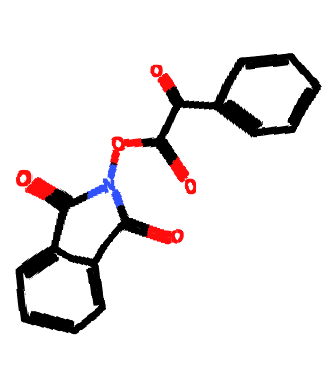 O=C(ON1C(=O)c2ccccc2C1=O)C(=O)c1ccccc1